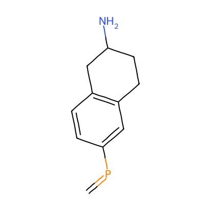 C=Pc1ccc2c(c1)CCC(N)C2